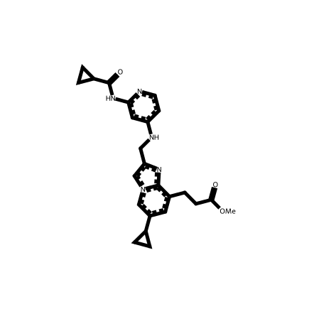 COC(=O)CCc1cc(C2CC2)cn2cc(CNc3ccnc(NC(=O)C4CC4)c3)nc12